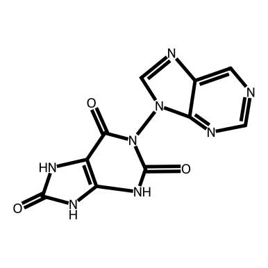 O=c1[nH]c2[nH]c(=O)n(-n3cnc4cncnc43)c(=O)c2[nH]1